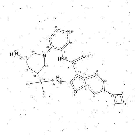 Nc1oc2cc(C3=CC=C3)cnc2c1C(=O)Nc1cnccc1N1C[C@@H](N)C[C@@H](C(F)(F)F)C1